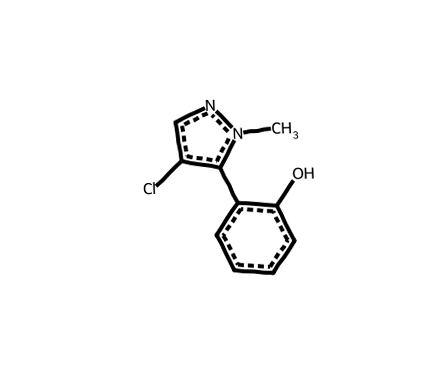 Cn1ncc(Cl)c1-c1ccccc1O